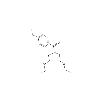 CCOCCN(CCOCC)C(=O)c1ccc(CC)cc1